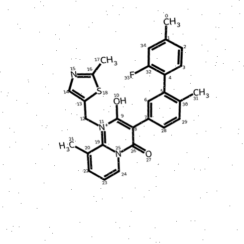 Cc1ccc(-c2cc(-c3c(O)[n+](Cc4cnc(C)s4)c4c(C)cccn4c3=O)ccc2C)c(F)c1